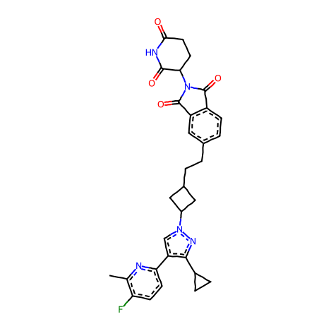 Cc1nc(-c2cn(C3CC(CCc4ccc5c(c4)C(=O)N(C4CCC(=O)NC4=O)C5=O)C3)nc2C2CC2)ccc1F